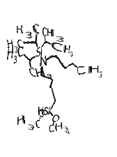 CCCCN(CCCC[SiH](OC)OC)[Si](C(C)C)(C(C)C)C(C)C